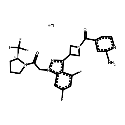 Cl.Nc1cc(C(=O)N2CC(c3nn(CC(=O)N4CCC[C@H]4C(F)(F)F)c4cc(F)cc(F)c34)C2)ccn1